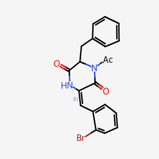 CC(=O)N1C(=O)/C(=C\c2ccccc2Br)NC(=O)C1Cc1ccccc1